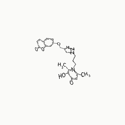 Cc1cc(=O)c(O)c(C)n1CCCn1cc(COc2ccc3ccc(=O)oc3c2)nn1